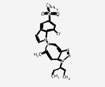 CCC(CC)N1N=NC2=CN(n3ccc4cc(S(C)(=O)=O)cc(Cl)c43)C(C)=CC21